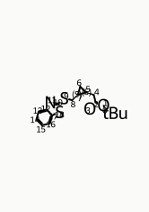 CC(C)(C)OC(=O)C[C@@H]1C[C@@H]1CSc1nc2ccccc2s1